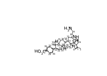 C=C(C)[C@@H]1CC[C@]2(NCCN)CC[C@]3(C)[C@H](CC[C@@H]4[C@@]5(C)CC=C(c6ccc(C(=O)O)cc6)C(C)(C)[C@@H]5CC[C@]43C)[C@@H]12